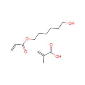 C=C(C)C(=O)O.C=CC(=O)OCCCCCCO